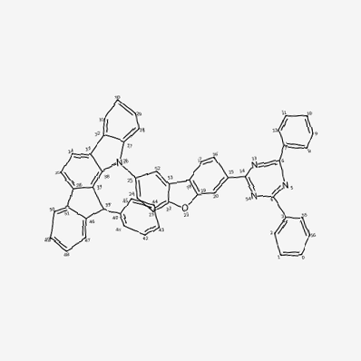 c1ccc(-c2nc(-c3ccccc3)nc(-c3ccc4c(c3)oc3ccc(-n5c6ccccc6c6ccc7c(c65)C(c5ccccc5)c5ccccc5-7)cc34)n2)cc1